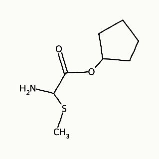 CSC(N)C(=O)OC1CCCC1